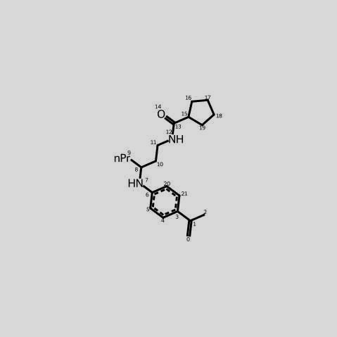 C=C(C)c1ccc(NC(CCC)CCNC(=O)C2CCCC2)cc1